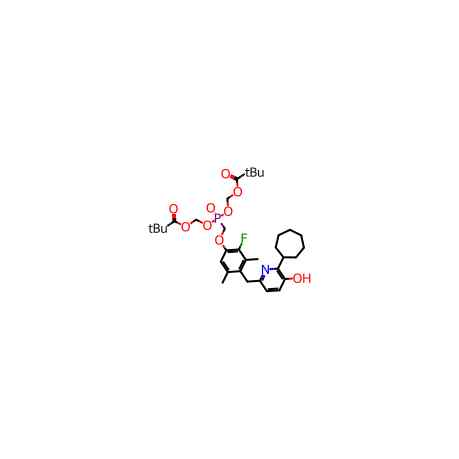 Cc1cc(OCP(=O)(OCOC(=O)C(C)(C)C)OCOC(=O)C(C)(C)C)c(F)c(C)c1Cc1ccc(O)c(C2CCCCCC2)n1